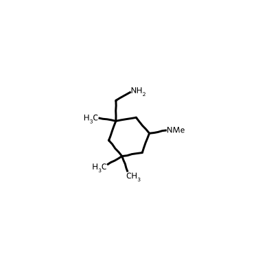 CNC1CC(C)(C)CC(C)(CN)C1